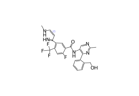 CN/C=C\C(=N)c1cc(C(=O)Nc2cnc(C)nc2-c2ccccc2CO)c(F)cc1C(F)(F)F